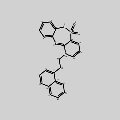 O=S1(=O)Oc2ccccc2N=C2C1=CC=CN2CCc1cccc2ccccc12